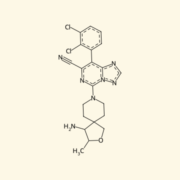 CC1OCC2(CCN(c3nc(C#N)c(-c4cccc(Cl)c4Cl)c4ncnn34)CC2)C1N